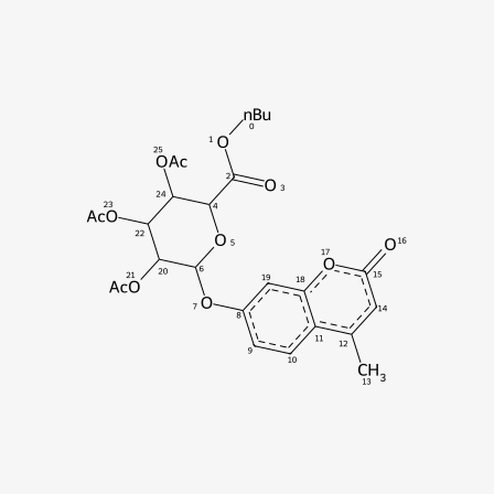 CCCCOC(=O)C1OC(Oc2ccc3c(C)cc(=O)oc3c2)C(OC(C)=O)C(OC(C)=O)C1OC(C)=O